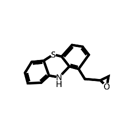 c1ccc2c(c1)Nc1c(CC3CO3)cccc1S2